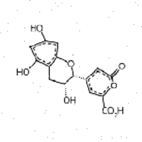 O=C(O)c1cc([C@H]2Oc3cc(O)cc(O)c3C[C@H]2O)cc(=O)o1